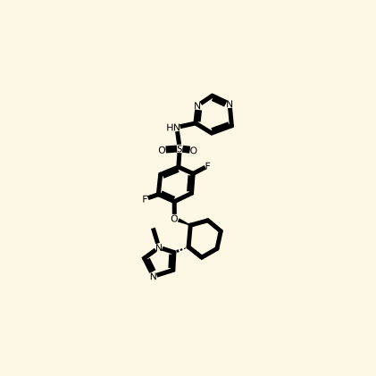 Cn1cncc1[C@H]1CCCC[C@@H]1Oc1cc(F)c(S(=O)(=O)Nc2ccncn2)cc1F